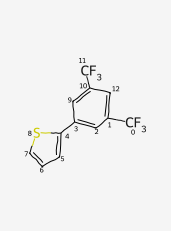 FC(F)(F)c1cc(-c2cccs2)cc(C(F)(F)F)c1